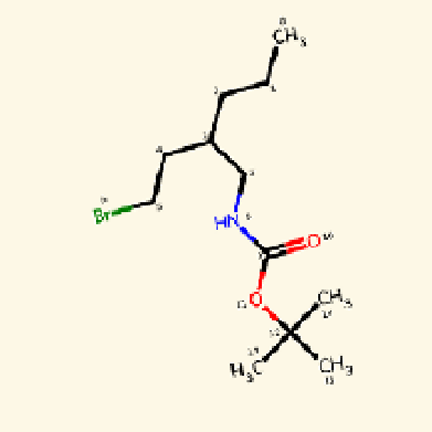 CCCC(CCBr)CNC(=O)OC(C)(C)C